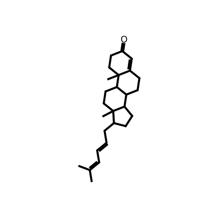 CC(C)=C/C=C/CC1CCC2C3CCC4=CC(=O)CCC4(C)C3CCC12C